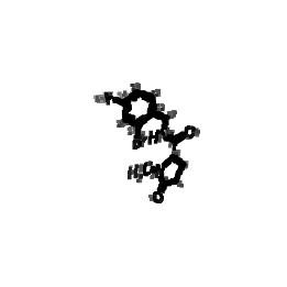 CN1C(=O)CC[C@H]1C(=O)NCc1ccc(F)cc1Br